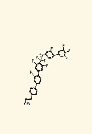 CCC/C=C/c1ccc(-c2ccc(-c3cc(F)c(C(F)(F)Oc4ccc(-c5cc(F)c(F)c(F)c5)c(F)c4)c(F)c3)c(F)c2)cc1